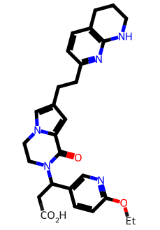 CCOc1ccc(C(CC(=O)O)N2CCn3cc(CCc4ccc5c(n4)NCCC5)cc3C2=O)cn1